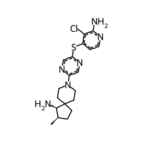 C[C@@H]1CCC2(CCN(c3cnc(Sc4ccnc(N)c4Cl)cn3)CC2)[C@@H]1N